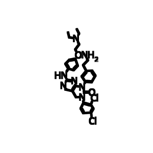 CCN(CC)CCOc1ccc(Nc2ncc3c(n2)N(c2cccc(CCN)c2)C(=O)N(c2ccc(Cl)cc2Cl)C3)cc1